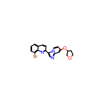 Brc1cccc2ccc(-c3cnc4cc(OC5CCOC5)ccn34)nc12